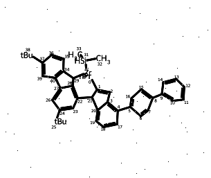 CCCC1=Cc2c(-c3ccc(-c4ccccc4)cc3)cccc2C1c1cc(C(C)(C)C)cc2c1[CH]([Zr][SiH](C)C)c1ccc(C(C)(C)C)cc1-2